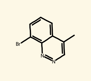 Cc1cnnc2c(Br)cccc12